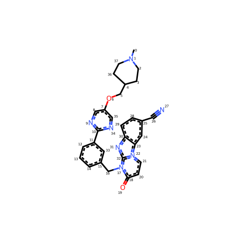 CN1CCC(COc2cnc(-c3cccc(Cn4c(=O)ccn5c6cc(C#N)ccc6nc45)c3)nc2)CC1